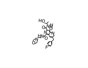 CC(CO)NC(=O)c1nc(C(=O)NCCN2CCOCC2)c2cc(Cc3ccc(F)cc3)cnc2c1O